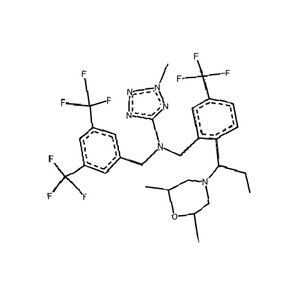 CCC(c1ccc(C(F)(F)F)cc1CN(Cc1cc(C(F)(F)F)cc(C(F)(F)F)c1)c1nnn(C)n1)N1CC(C)OC(C)C1